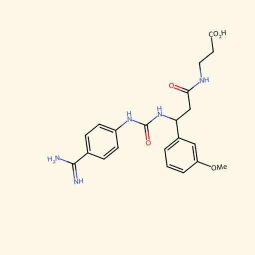 COc1cccc(C(CC(=O)NCCC(=O)O)NC(=O)Nc2ccc(C(=N)N)cc2)c1